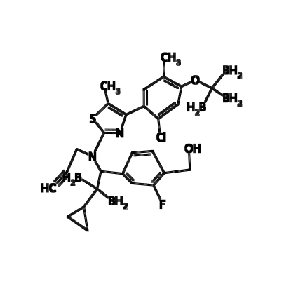 BC(B)(B)Oc1cc(Cl)c(-c2nc(N(CC#C)C(c3ccc(CO)c(F)c3)C(B)(B)C3CC3)sc2C)cc1C